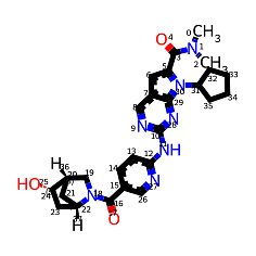 CN(C)C(=O)c1cc2cnc(Nc3ccc(C(=O)N4C[C@@H]5C[C@H]4C[C@@H]5O)cn3)nc2n1C1CCCC1